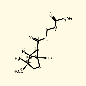 COC(=O)OCOC(=O)[C@H]1[C@@H]2CC[C@@](N)(C(=O)O)[C@@H]21